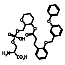 N[C@@H](COP(=O)(O)OCC1OCCCC1OC(=O)CCc1ccccc1OCc1cccc(Oc2ccccc2)c1)C(=O)O